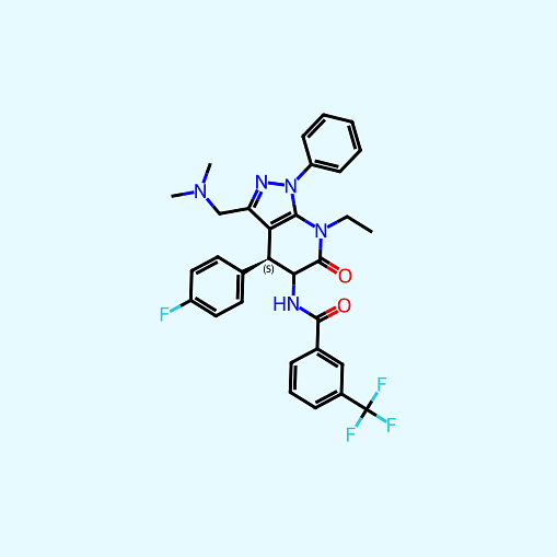 CCN1C(=O)C(NC(=O)c2cccc(C(F)(F)F)c2)[C@@H](c2ccc(F)cc2)c2c(CN(C)C)nn(-c3ccccc3)c21